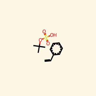 C=Cc1ccccc1.CC(C)(C)OS(=O)(=O)O